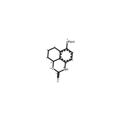 CCCCCc1ccc2c3c1CCCC3OC(=S)N2